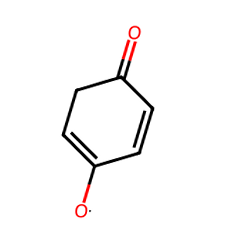 [O]C1=CCC(=O)C=C1